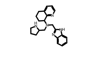 c1cnc2c(c1)CCCC2N(Cc1nc2ccccc2[nH]1)CC1CCCN1